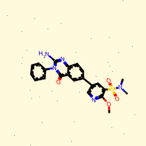 COc1ncc(-c2ccc3nc(N)n(-c4ccccc4)c(=O)c3c2)cc1S(=O)(=O)N(C)C